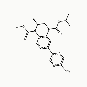 COC(=O)N1c2ccc(-c3cnc(N)cn3)cc2N(C(=O)OC(C)C)C[C@@H]1C